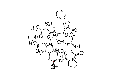 CC[C@H](C)[C@H](N)C(=O)N[C@H](C(=O)N[C@@H](Cc1ccccc1)C(=O)NCC(=O)NCC(=O)N1CCC[C@H]1C(=O)N[C@@H](CO)C(=O)N[C@@H](CC(=O)O)C(=O)N[C@@H](CO)C(=O)O)[C@@H](C)O